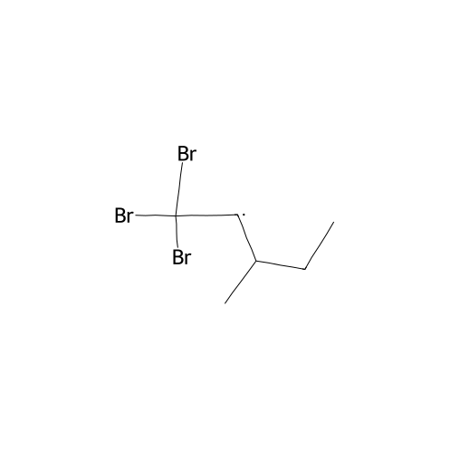 CCC(C)[CH]C(Br)(Br)Br